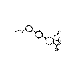 CCOc1cccc(-c2ccc(N3CCN(C(=O)O)C(CC=O)(NC)C3)cc2)c1